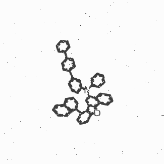 c1ccc(-c2ccc(-c3cccc(N(c4ccccc4)c4cc5c(oc6cccc(-c7cccc8ccccc78)c65)c5ccccc45)c3)cc2)cc1